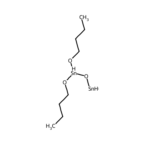 CCCC[O][SnH]([O][SnH])[O]CCCC